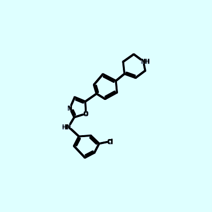 Clc1cccc(Nc2ncc(-c3ccc(C4=CCNCC4)cc3)o2)c1